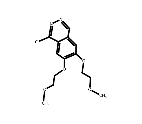 COCCOc1cc2cnnc(Cl)c2cc1OCCOC